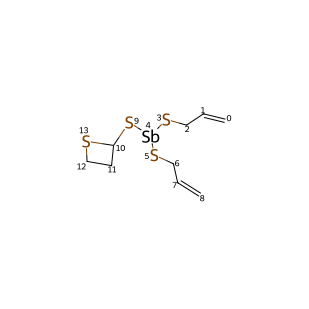 C=CC[S][Sb]([S]CC=C)[S]C1CCS1